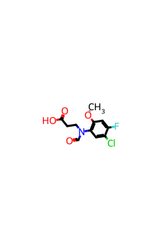 COc1cc(F)c(Cl)cc1N(C=O)CCC(=O)O